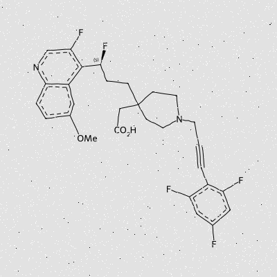 COc1ccc2ncc(F)c([C@@H](F)CCC3(CC(=O)O)CCN(CC#Cc4c(F)cc(F)cc4F)CC3)c2c1